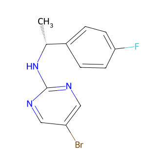 C[C@@H](Nc1ncc(Br)cn1)c1ccc(F)cc1